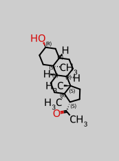 CC(=O)[C@H]1CC[C@@]2(C)[C@@H]3CC[C@H]4C[C@H](O)CC[C@]4(C)[C@H]3CC[C@]12C